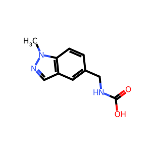 Cn1ncc2cc(CNC(=O)O)ccc21